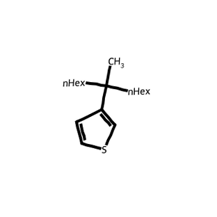 CCCCCCC(C)(CCCCCC)c1ccsc1